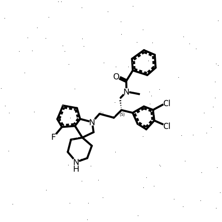 CN(C[C@@H](CCN1CC2(CCNCC2)c2c(F)cccc21)c1ccc(Cl)c(Cl)c1)C(=O)c1ccccc1